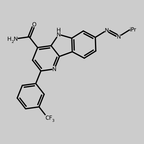 CC(C)N=Nc1ccc2c(c1)[nH]c1c(C(N)=O)cc(-c3cccc(C(F)(F)F)c3)nc12